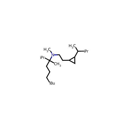 CCC(C)CCCC(C)(C(C)C)N(C)CCC1CC1C(C)C(C)C